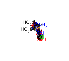 CC(C)(O/N=C(\C(=O)N[C@@H]1C(=O)N(CC(=O)O)[C@@H]1SCN1CCN(NC(=O)C(=O)c2ccc(O)c(O)c2Cl)C(=O)C1=O)c1nc(N)sc1Br)C(=O)O